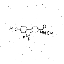 CNC(=O)c1ccc(-c2ccc(C)cc2C(F)(F)F)cc1